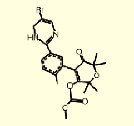 COC(=O)OC1=C(c2cc(C3=NC=C(Br)CN3)ccc2C)C(=O)C(C)(C)OC1(C)C